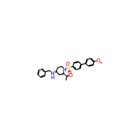 COc1ccc(-c2ccc(S(=O)(=O)N3CC[C@@H](NCc4ccccc4)C[C@@H]3C(C)=O)cc2)cc1